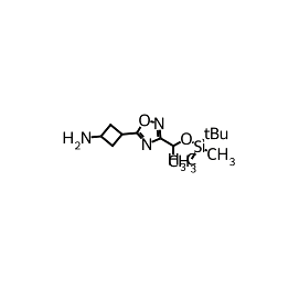 CC(O[Si](C)(C)C(C)(C)C)c1noc(C2CC(N)C2)n1